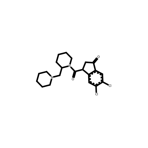 O=C1CC(C(=O)N2CCCCC2CN2CCCCC2)c2cc(Cl)c(Cl)cc21